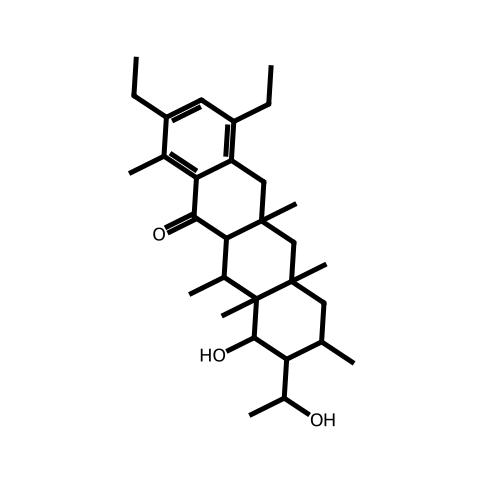 CCc1cc(CC)c2c(c1C)C(=O)C1C(C)C3(C)C(O)C(C(C)O)C(C)CC3(C)CC1(C)C2